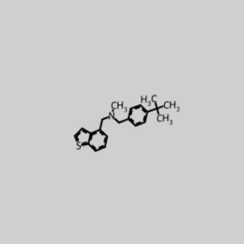 CN(Cc1ccc(C(C)(C)C)cc1)Cc1cccc2sccc12